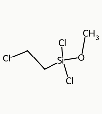 CO[Si](Cl)(Cl)CCCl